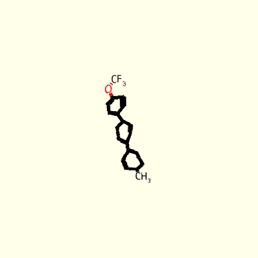 CC1C=CC(C2C=CC(c3c#cc(OC(F)(F)F)cc3)CC2)CC1